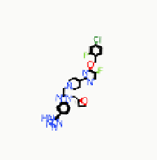 Fc1cc(Cl)ccc1COc1nc(C2=CCN(Cc3nc4cc(-c5nnn[nH]5)ccc4n3C[C@@H]3CCO3)CC2)ncc1F